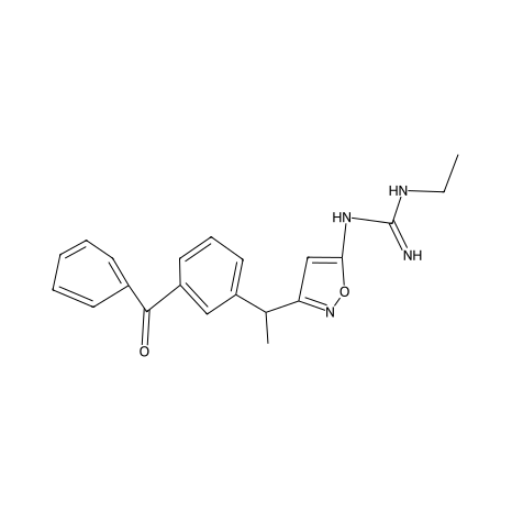 CCNC(=N)Nc1cc(C(C)c2cccc(C(=O)c3ccccc3)c2)no1